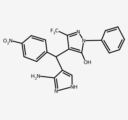 Nc1n[nH]cc1C(c1ccc([N+](=O)[O-])cc1)c1c(C(F)(F)F)nn(-c2ccccc2)c1O